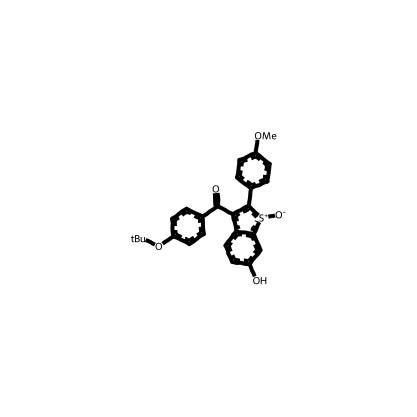 COc1ccc(-c2c(C(=O)c3ccc(OC(C)(C)C)cc3)c3ccc(O)cc3[s+]2[O-])cc1